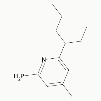 CCCC(CC)c1cc(C)cc(P)n1